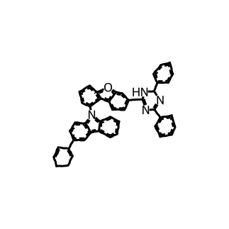 C1=CC(c2ccc3c(c2)c2ccccc2n3-c2cccc3oc4cc(C5=NC(c6ccccc6)=NC(c6ccccc6)N5)ccc4c23)=CCC1